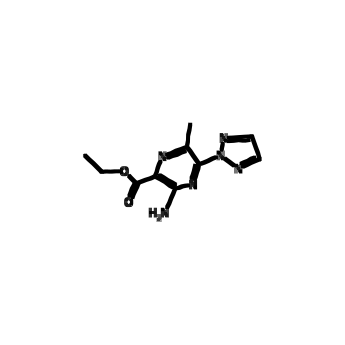 CCOC(=O)c1nc(C)c(-n2nccn2)nc1N